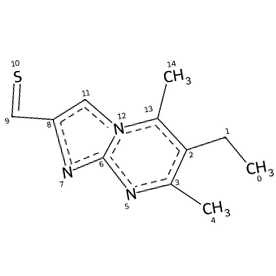 CCc1c(C)nc2nc(C=S)cn2c1C